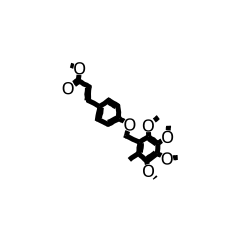 COC(=O)/C=C/c1ccc(OCc2c(C)c(OC)c(OC)c(OC)c2OC)cc1